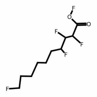 O=C(OF)C(F)C(F)C(F)CCCCCCF